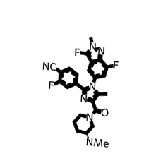 CN[C@@H]1CCCN(C(=O)c2nc(-c3ccc(C#N)c(F)c3)n(-c3cc(F)c4nn(C)c(F)c4c3)c2C)C1